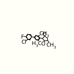 CCC1CC(=O)C(c2c(C)cc(-c3ccc(F)c(Cl)c3)cc2C)C1=O